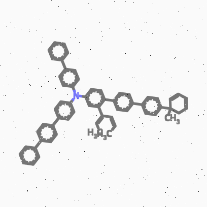 C/C=C\C(=C/C)c1cc(N(c2ccc(-c3ccccc3)cc2)c2ccc(-c3ccc(-c4ccccc4)cc3)cc2)ccc1-c1ccc(-c2ccc(C3(C)C=CC=CC3)cc2)cc1